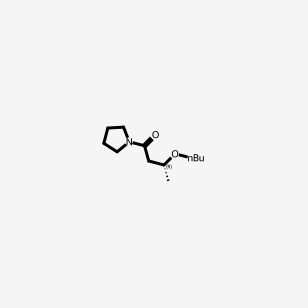 CCCCO[C@H](C)CC(=O)N1CCCC1